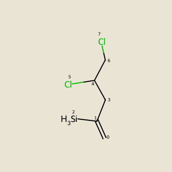 C=C([SiH3])CC(Cl)CCl